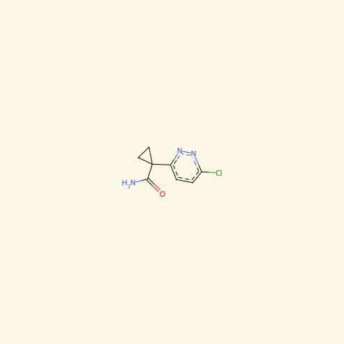 NC(=O)C1(c2ccc(Cl)nn2)CC1